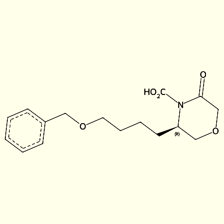 O=C(O)N1C(=O)COC[C@H]1CCCCOCc1ccccc1